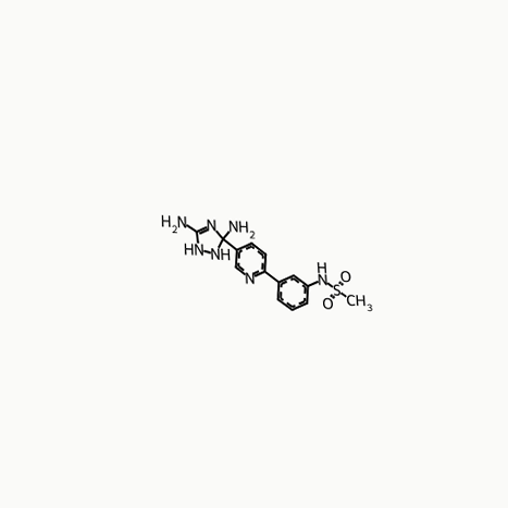 CS(=O)(=O)Nc1cccc(-c2ccc(C3(N)N=C(N)NN3)cn2)c1